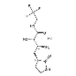 Cl.N[C@@H](C[C@@H]1CCNC1=O)C(O)C(=O)NCC(F)(F)F